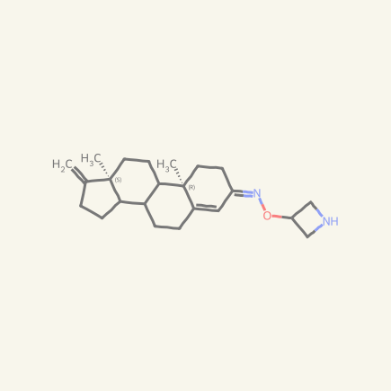 C=C1CCC2C3CCC4=CC(=NOC5CNC5)CC[C@]4(C)C3CC[C@]12C